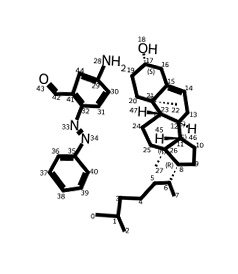 CC(C)CCCC(C)[C@H]1CC[C@H]2[C@@H]3CC=C4C[C@@H](O)CC[C@]4(C)[C@H]3CC[C@]12C.Nc1ccc(N=Nc2ccccc2)c(C=O)c1